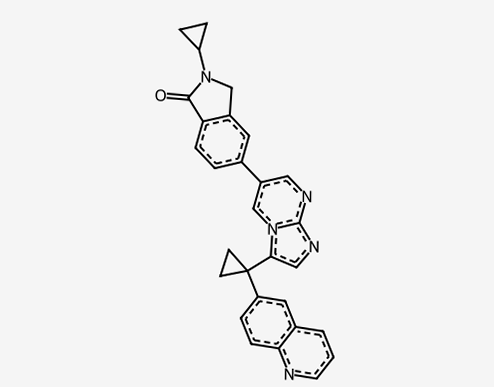 O=C1c2ccc(-c3cnc4ncc(C5(c6ccc7ncccc7c6)CC5)n4c3)cc2CN1C1CC1